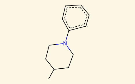 CC1CCN(c2[c]cccc2)CC1